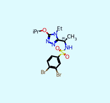 CCn1c(OC(C)C)nnc1[C@@H](C)NS(=O)(=O)c1ccc(Br)c(Br)c1